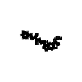 C[C@H]1Cn2ncc(NCCNC(=O)OCc3ccccc3)c2CN1C(=O)OC(C)(C)C